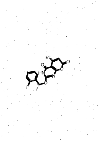 CCc1cc(=O)oc2nc(O[C@H](C)c3ccccc3F)[nH]c(=O)c12